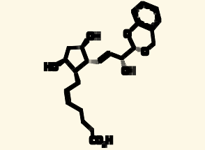 O=C(O)CCC/C=C\C[C@@H]1[C@@H](/C=C/[C@@H](O)[C@H]2OCc3ccccc3O2)[C@H](O)C[C@@H]1O